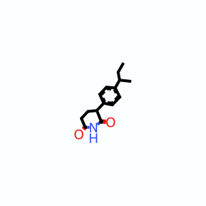 CCC(C)c1ccc(C2CCC(=O)NC2=O)cc1